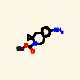 CC(C)(C)OC(=O)N1CCc2cc(N)ccc2CC12CC2